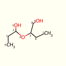 CCC(O)OC(CC)CO